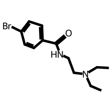 CCN(CC)CCNC(=O)c1ccc(Br)cc1